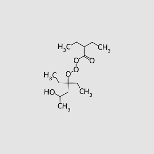 CCC(CC)C(=O)OOOC(CC)(CC)CC(C)O